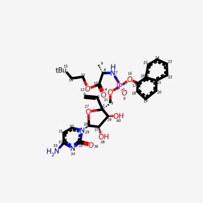 C=C[C@]1(COP(=O)(N[C@@H](C)C(=O)OCCC(C)(C)C)Oc2cccc3ccccc23)O[C@@H](n2ccc(N)nc2=O)[C@H](O)[C@@H]1O